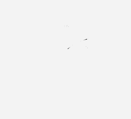 c1ccc(-c2cccc3c2[C@@H]2CCNCC[C@@H]2N3)c(OC2CCCC2)c1